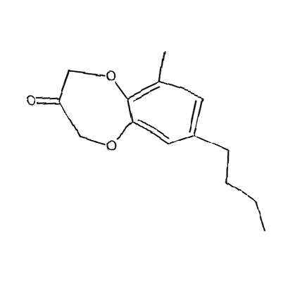 CCCCc1cc(C)c2c(c1)OCC(=O)CO2